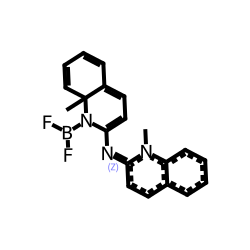 Cn1/c(=N\C2=CC=C3C=CC=CC3(C)N2B(F)F)ccc2ccccc21